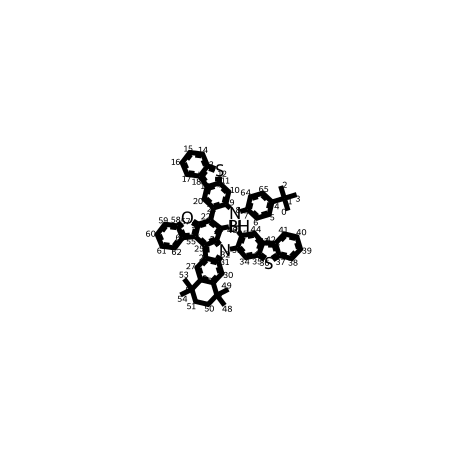 CC(C)(C)c1ccc(Nc2cc3sc4ccccc4c3cc2-c2c3c4c(c5cc6c(cc5n4-c4cc5sc7ccccc7c5cc4B3)C(C)(C)CCC6(C)C)c3c2oc2ccccc23)cc1